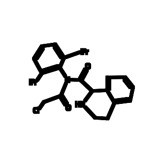 CC(C)c1cccc(C(C)C)c1N(C(=O)CCl)C(=O)C1NCCc2ccccc21